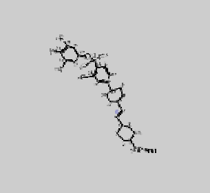 CCCCCC1CCC(/C=C/C2CCC(c3ccc(C(F)(F)Oc4cc(F)c(F)c(F)c4)c(F)c3)CC2)CC1